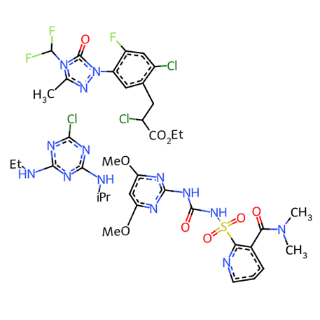 CCNc1nc(Cl)nc(NC(C)C)n1.CCOC(=O)C(Cl)Cc1cc(-n2nc(C)n(C(F)F)c2=O)c(F)cc1Cl.COc1cc(OC)nc(NC(=O)NS(=O)(=O)c2ncccc2C(=O)N(C)C)n1